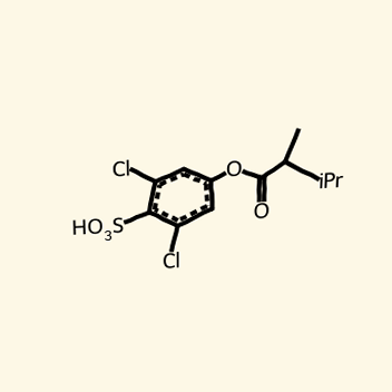 CC(C)C(C)C(=O)Oc1cc(Cl)c(S(=O)(=O)O)c(Cl)c1